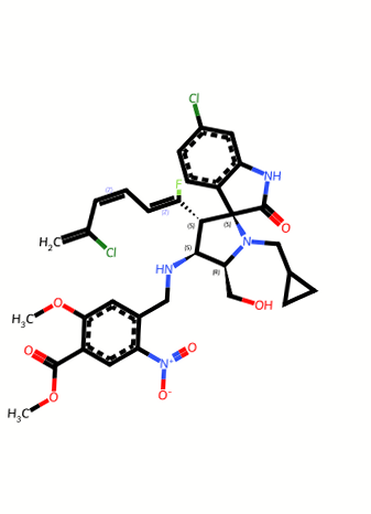 C=C(Cl)/C=C\C=C(/F)[C@H]1[C@H](NCc2cc(OC)c(C(=O)OC)cc2[N+](=O)[O-])[C@H](CO)N(CC2CC2)[C@@]12C(=O)Nc1cc(Cl)ccc12